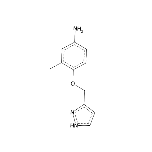 Cc1cc(N)ccc1OCc1cc[nH]n1